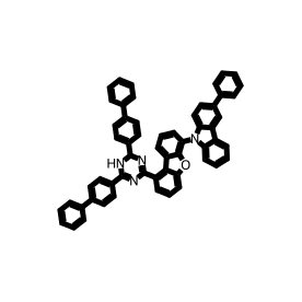 c1ccc(-c2ccc(C3=NC(c4cccc5oc6c(-n7c8ccccc8c8cc(-c9ccccc9)ccc87)cccc6c45)=NC(c4ccc(-c5ccccc5)cc4)N3)cc2)cc1